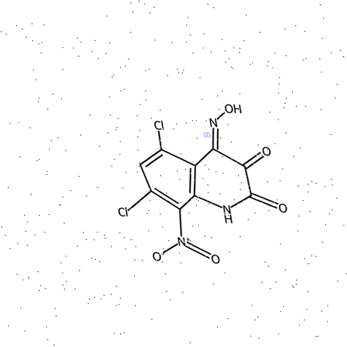 O=C1Nc2c(c(Cl)cc(Cl)c2[N+](=O)[O-])/C(=N/O)C1=O